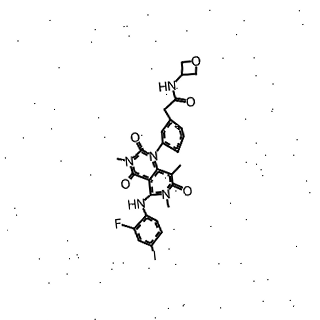 Cc1c(=O)n(C)c(Nc2ccc(I)cc2F)c2c(=O)n(C)c(=O)n(-c3cccc(CC(=O)NC4COC4)c3)c12